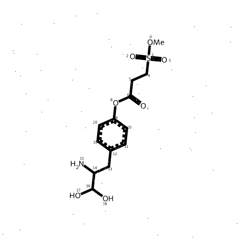 COS(=O)(=O)CCC(=O)Oc1ccc(CC(N)C(O)O)cc1